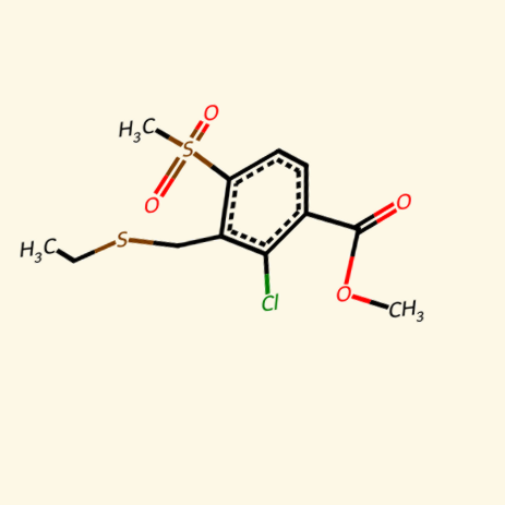 CCSCc1c(S(C)(=O)=O)ccc(C(=O)OC)c1Cl